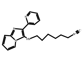 [C-]#[N+]CCCCCCNc1c(-c2ccccn2)nc2ccccn12